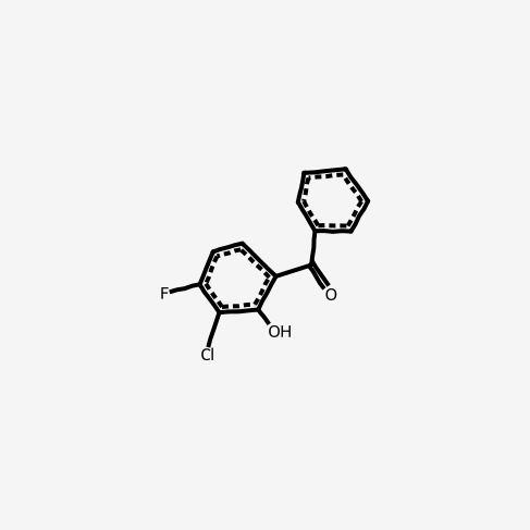 O=C(c1ccccc1)c1ccc(F)c(Cl)c1O